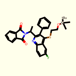 CC(c1nc2ccc(F)cc2c(SCCO[Si](C)(C)C(C)(C)C)c1-c1ccccc1)N1C(=O)c2ccccc2C1=O